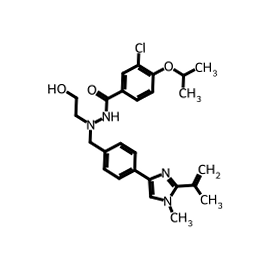 C=C(C)c1nc(-c2ccc(CN(CCO)NC(=O)c3ccc(OC(C)C)c(Cl)c3)cc2)cn1C